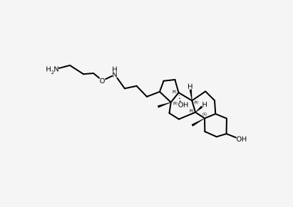 C[C@]12CCC(O)CC1CC[C@@H]1[C@H]2CC[C@]2(C)C(CCCNOCCCN)CC[C@@]12O